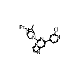 CC(C)N1C2CC(C1C)N(c1nc(-c3ccnc(Cl)c3)cc3nccn13)C2